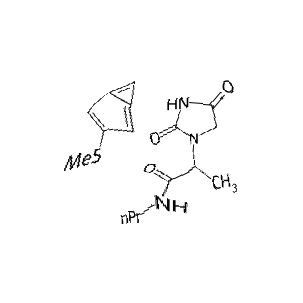 CCCNC(=O)C(C)N1CC(=O)NC1=O.CSc1cc2cc-2c1